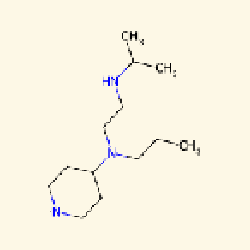 CCCN(CCNC(C)C)C1CC[N]CC1